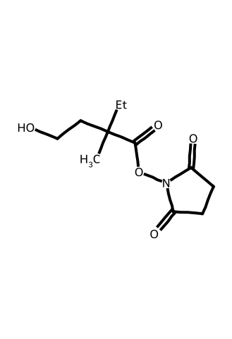 CCC(C)(CCO)C(=O)ON1C(=O)CCC1=O